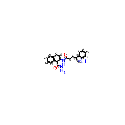 NC(=O)c1c(NC(=O)[CH]Cc2c[nH]c3ccccc23)ccc2ccccc12